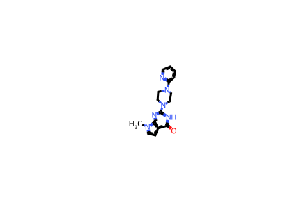 Cn1ccc2c(=O)[nH]c(N3CCN(c4ccccn4)CC3)nc21